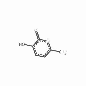 [CH2]c1ccc(O)c(=O)o1